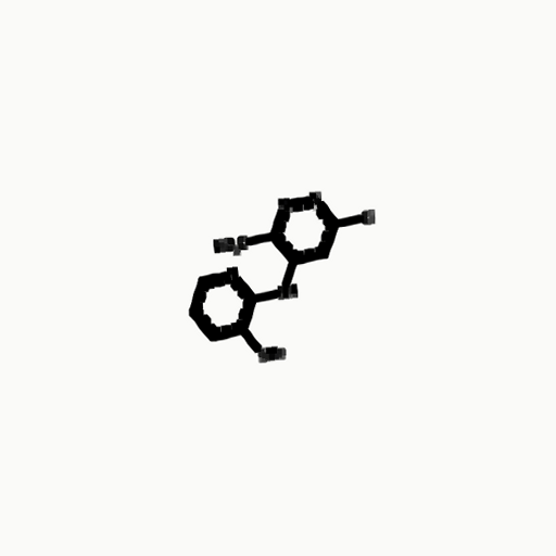 CSc1cccnc1Nc1cc(Cl)nnc1C(=O)O